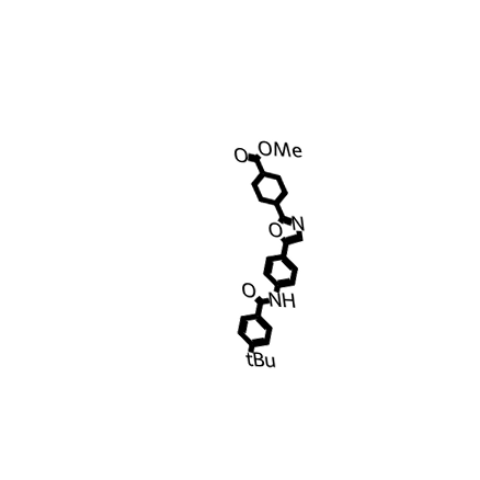 COC(=O)C1CCC(c2ncc(-c3ccc(NC(=O)c4ccc(C(C)(C)C)cc4)cc3)o2)CC1